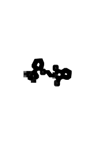 O=C1c2ccccc2C(=O)N1CCOc1ccccc1-c1cnc[nH]1